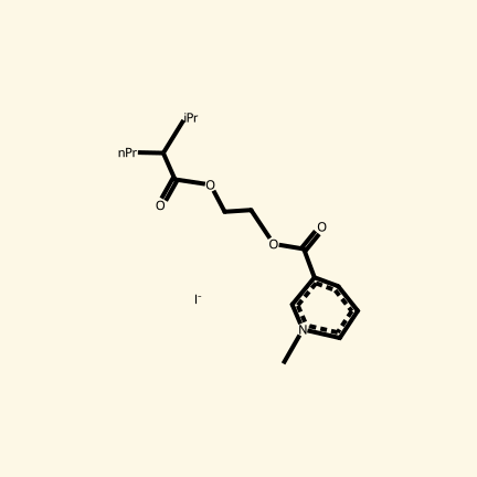 CCCC(C(=O)OCCOC(=O)c1ccc[n+](C)c1)C(C)C.[I-]